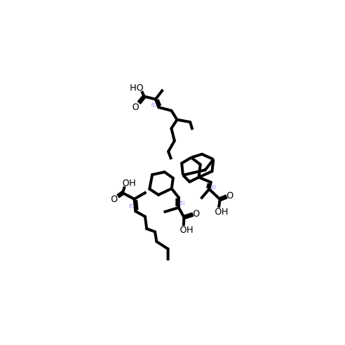 C/C(=C\C12CC3CC(CC(C3)C1)C2)C(=O)O.C/C(=C\C1CCCCC1)C(=O)O.CCCCC(CC)C/C=C(\C)C(=O)O.CCCCCC/C=C(\C)C(=O)O